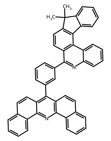 CC1(C)c2ccccc2-c2c1ccc1c(-c3cccc(-c4c5ccc6ccccc6c5nc5c4ccc4ccccc45)c3)nc3ccccc3c21